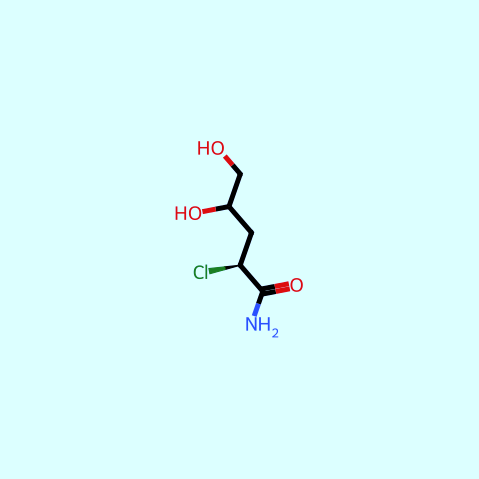 NC(=O)[C@@H](Cl)CC(O)CO